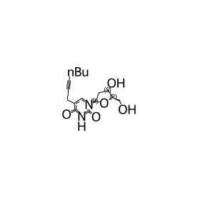 CCCCC#CCc1cn([C@H]2C[C@H](O)[C@@H](CO)O2)c(=O)[nH]c1=O